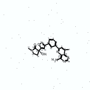 Cc1cc(-c2cccc(-c3cc([C@]4(O)CCN(C)C4=O)on3)c2)nc2c(N)ncnc12